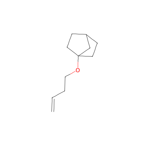 C=CCCOC12CCC(CC1)C2